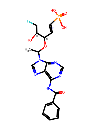 CC(O[C@H](/C=C/P(=O)(O)O)[C@@H](O)CF)n1cnc2c(NC(=O)c3ccccc3)ncnc21